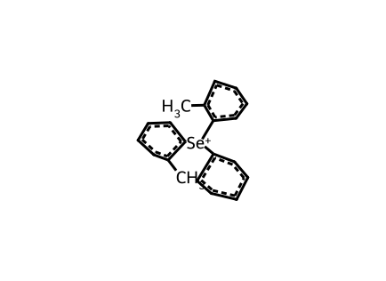 Cc1ccccc1[Se+](c1ccccc1)c1ccccc1C